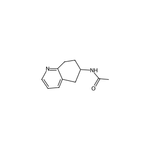 CC(=O)NC1CCc2ncccc2C1